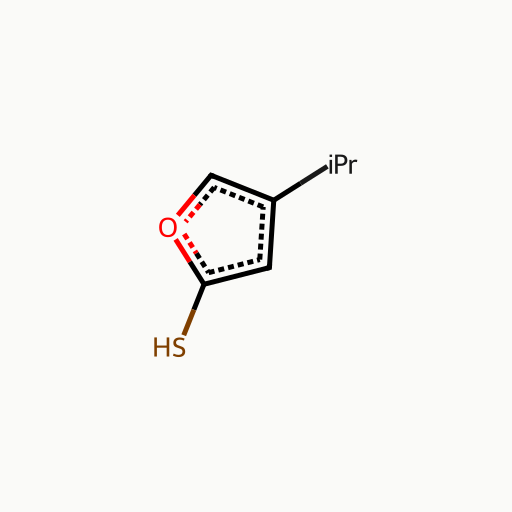 CC(C)c1coc(S)c1